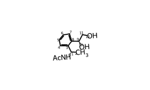 CC(=O)N[C@@H](C)c1ccccc1[C@H](O)CO